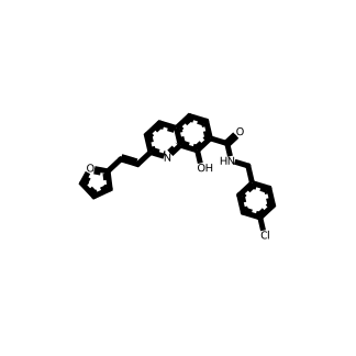 O=C(NCc1ccc(Cl)cc1)c1ccc2ccc(C=Cc3ccco3)nc2c1O